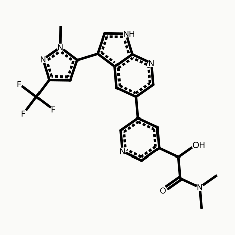 CN(C)C(=O)C(O)c1cncc(-c2cnc3[nH]cc(-c4cc(C(F)(F)F)nn4C)c3c2)c1